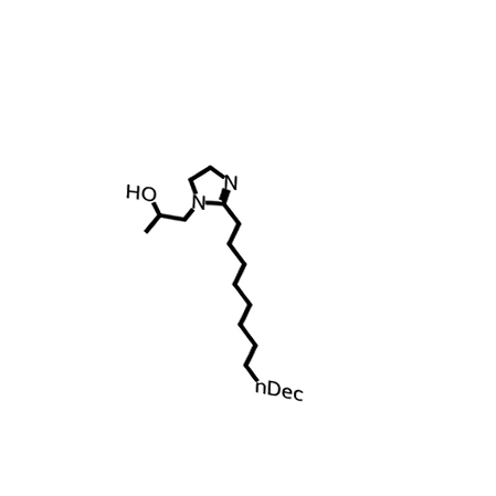 CCCCCCCCCCCCCCCCCCC1=NCCN1CC(C)O